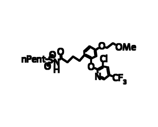 CCCCCS(=O)(=O)NC(=O)CCCc1ccc(OCCOC)cc1Oc1ncc(C(F)(F)F)cc1Cl